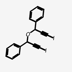 IC#CC(OC(C#CI)c1ccccc1)c1ccccc1